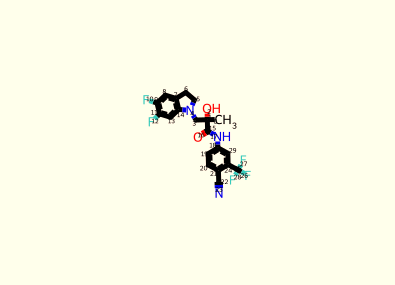 CC(O)(CN1CCc2cc(F)c(F)cc21)C(=O)Nc1ccc(C#N)c(C(F)(F)F)c1